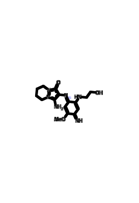 COC1=C/C(=N\c2c(N)n3n(c2=O)CCCC3)C(NCCO)=CC1=N